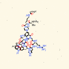 CCCCCCCC(=O)NCCCC[C@H](NC(=O)[C@@H](NC(C)=O)[C@@H](C)CC)C(=O)N1CCN(c2ccc3ncn(CC(=O)N[C@@H](CCCNC(=N)N)C(=O)N[C@@H](Cc4c[nH]cn4)C(=O)N[C@@H](Cc4ccc(O)cc4)C(=O)N[C@@H](CC(C)C)C(=O)N[C@@H](CC(N)=O)C(=O)N[C@@H](Cc4c[nH]c5ccccc45)C(=O)N[C@H](C(C)=O)C(C)C)c(=O)c3c2)CC1